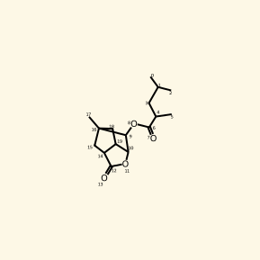 CC(C)CC(C)C(=O)OC1C2OC(=O)C3CC1(C)CC32